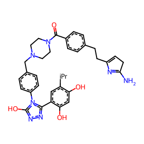 CC(C)c1cc(-c2nnc(O)n2-c2ccc(CN3CCN(C(=O)c4ccc(CCC5=CCC(N)=N5)cc4)CC3)cc2)c(O)cc1O